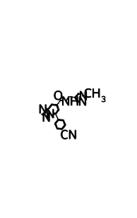 Cn1cc(CNC(=O)c2cc(-c3ccc(C#N)cc3)n3ncnc3c2)cn1